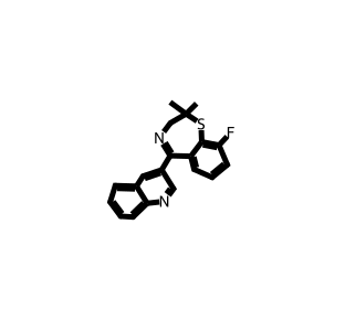 CC1(C)CN=C(c2cnc3ccccc3c2)c2cccc(F)c2S1